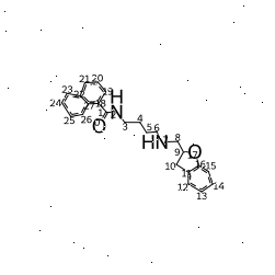 O=C(NCCCCNCC1Cc2ccccc2O1)c1cccc2ccccc12